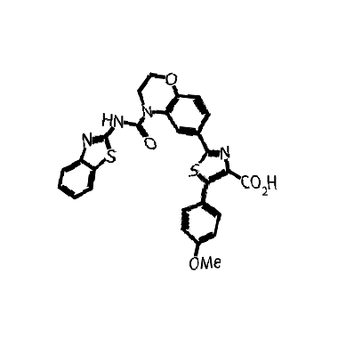 COc1ccc(-c2sc(-c3ccc4c(c3)N(C(=O)Nc3nc5ccccc5s3)CCO4)nc2C(=O)O)cc1